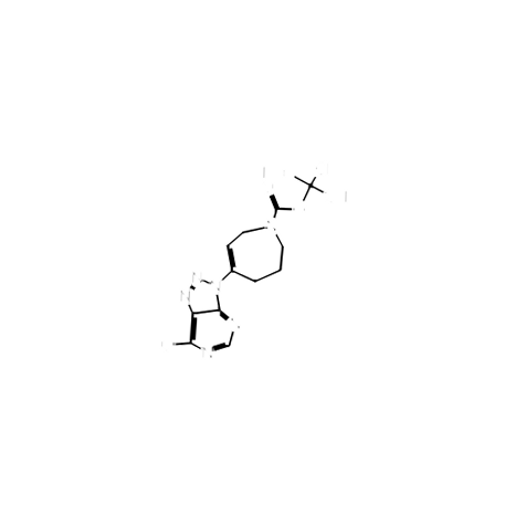 CC(C)(C)OC(=O)N1CC=C(n2nnc3c(Cl)ncnc32)CCC1